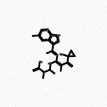 C=C(O)C(C)C(C)NC(/N=C(\C)c1n[nH]c2ncc(I)cc12)=C(\C)C(=C)C1(C#N)CC1